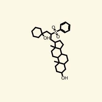 CC12CCC(O)CC1CCC1C2CCC2(C)C(CC(CC3(O)CCCCC3)S(=O)(=O)c3ccccc3)CCC12